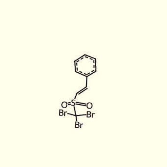 O=S(=O)(C=Cc1ccccc1)C(Br)(Br)Br